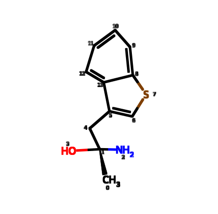 C[C@@](N)(O)Cc1csc2ccccc12